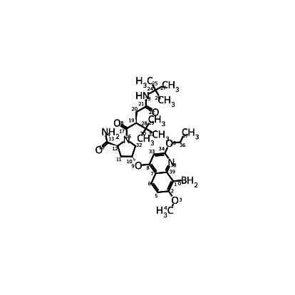 Bc1c(OC)ccc2c(O[C@@H]3C[C@@H](C(N)=O)N(C(=O)[C@@H](CC(=O)NC(C)(C)C)C(C)(C)C)C3)cc(OCC)nc12